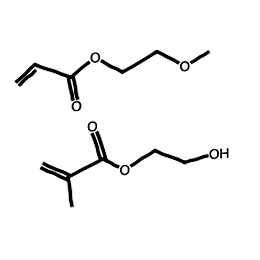 C=C(C)C(=O)OCCO.C=CC(=O)OCCOC